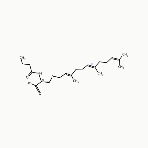 CCCC(=O)N[C@@H](CSC/C=C(\C)CC/C=C(\C)CCC=C(C)C)C(=O)O